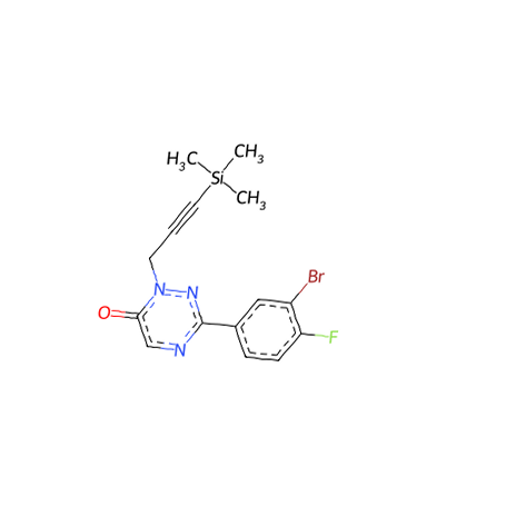 C[Si](C)(C)C#CCn1nc(-c2ccc(F)c(Br)c2)ncc1=O